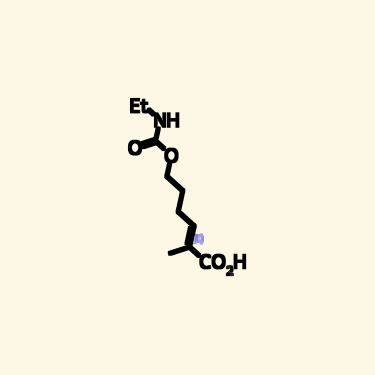 CCNC(=O)OCCC/C=C(\C)C(=O)O